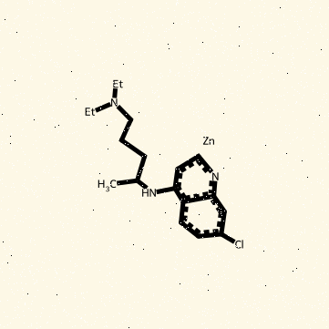 CCN(CC)CCCC(C)Nc1ccnc2cc(Cl)ccc12.[Zn]